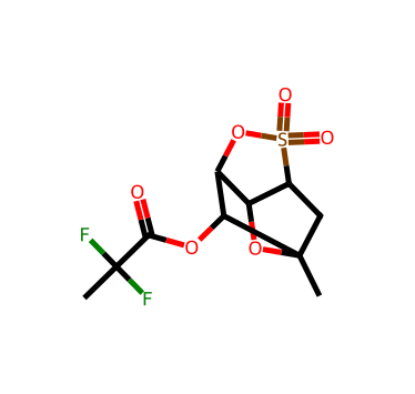 CC(F)(F)C(=O)OC1C2OS(=O)(=O)C3CC1(C)OC23